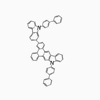 c1ccc(-c2ccc(-n3c4ccccc4c4ccc(-c5ccc6c(c5)c5ccccc5c5cc7c(cc65)c5ccccc5n7-c5ccc(-c6ccccc6)cc5)cc43)cc2)cc1